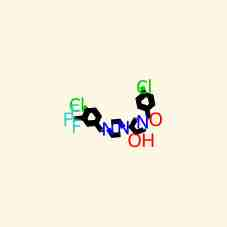 O=C(c1ccc(Cl)cc1)N1C[C@H](O)[C@@H](N2CCN(Cc3ccc(Cl)c(C(F)(F)F)c3)CC2)C1